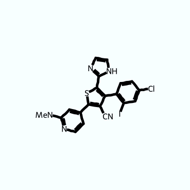 CNc1cc(-c2sc(-c3ncc[nH]3)c(-c3ccc(Cl)cc3I)c2C#N)ccn1